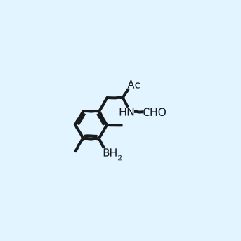 Bc1c(C)ccc(CC(NC=O)C(C)=O)c1C